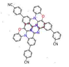 N#Cc1ccc(-c2ccc(-c3nc(-c4cccc(-c5cccc(C#N)c5)c4)nc(-c4ccc(-c5ccc(C#N)cc5)cc4N4c5ccccc5Oc5ccccc54)n3)c(N3c4ccccc4Oc4ccccc43)c2)cc1